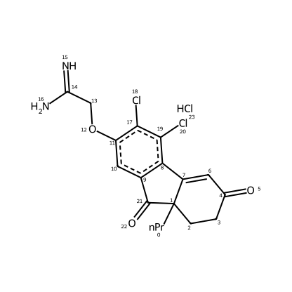 CCCC12CCC(=O)C=C1c1c(cc(OCC(=N)N)c(Cl)c1Cl)C2=O.Cl